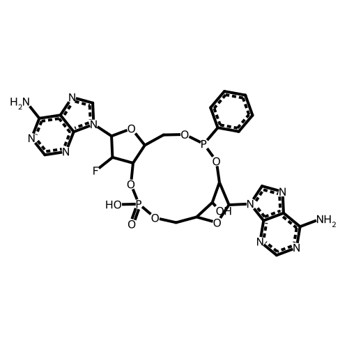 Nc1ncnc2c1ncn2C1OC2COP(c3ccccc3)OC3C(O)C(COP(=O)(O)OC2C1F)OC3n1cnc2c(N)ncnc21